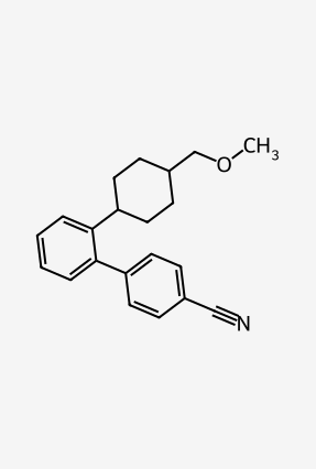 COCC1CCC(c2ccccc2-c2ccc(C#N)cc2)CC1